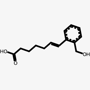 O=C(O)CCCCC=Cc1ccccc1CO